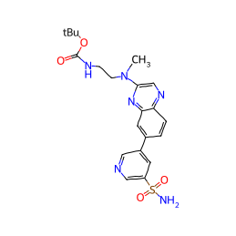 CN(CCNC(=O)OC(C)(C)C)c1cnc2ccc(-c3cncc(S(N)(=O)=O)c3)cc2n1